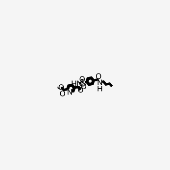 CCCCNC(=O)c1ccc(S(=O)(=O)NC(=O)c2ccc(C(=O)OC)nc2)cc1